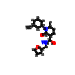 Cc1ccc(C(=O)NCc2ccco2)c(=O)n1-c1cccc(C#N)c1